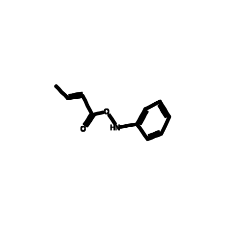 CC=CC(=O)ONc1ccccc1